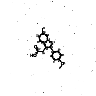 COc1ccc(-c2nc3cc(C)ccn3c2CC(=O)O)cc1